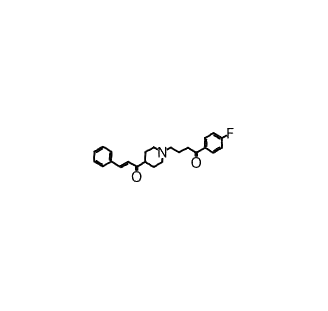 O=C(CCCN1CCC(C(=O)/C=C/c2ccccc2)CC1)c1ccc(F)cc1